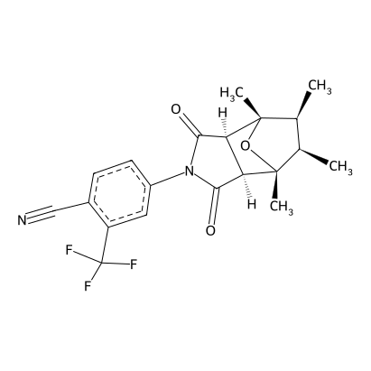 C[C@@H]1[C@H](C)[C@]2(C)O[C@@]1(C)[C@H]1C(=O)N(c3ccc(C#N)c(C(F)(F)F)c3)C(=O)[C@H]12